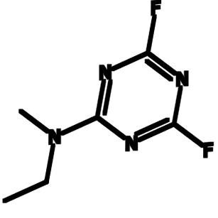 CCN(C)c1nc(F)nc(F)n1